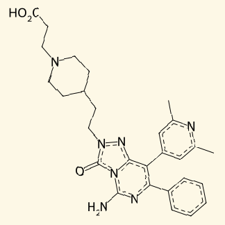 Cc1cc(-c2c(-c3ccccc3)nc(N)n3c(=O)n(CCC4CCN(CCC(=O)O)CC4)nc23)cc(C)n1